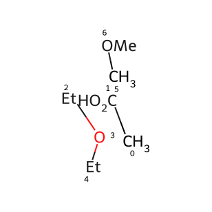 CC(=O)O.CCOCC.COC